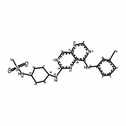 Cc1cccc(Nc2ncnc3cnc(NC4CCC(NS(C)(=O)=O)CC4)nc23)c1